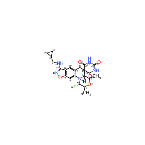 C[C@@H]1O[C@H](C)[C@@H]2N(c3cc4onc(NCC5CC5)c4cc3CC23C(=O)NC(=O)NC3=O)C1F